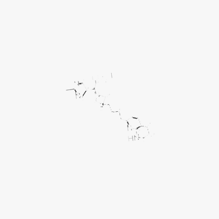 Cc1ncc(C(CC(=O)O)N2CC(F)(CCCCc3ccc4c(n3)NCCC4)C2)cn1